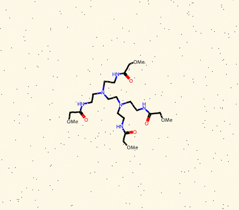 COCC(=O)NCCN(CCNC(=O)COC)CCN(CCNC(=O)COC)CCNC(=O)COC